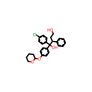 OCCC(c1ccccc1)C(O)(c1ccc(Cl)cc1)c1ccc(OC2CCCCO2)cc1